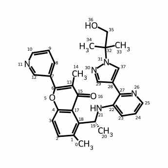 Cc1ccc2oc(-c3cccnc3)c(C)c(=O)c2c1[C@@H](C)Nc1cccnc1-c1cnn(C(C)(C)CO)c1